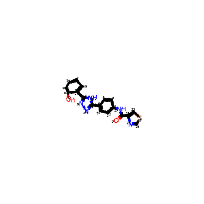 O=C(Nc1ccc(-c2nnc(-c3ccccc3O)[nH]2)cc1)c1cscn1